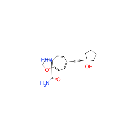 NC(=O)C1=NC23C=CC(C#CC4(O)CCCC4)=CC=C2OCC3CN1